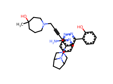 CC1(O)CCCN(CC#Cc2cc(N3C4CCC3CN(c3cc(-c5ccccc5O)nnc3N)C4)ccn2)CC1